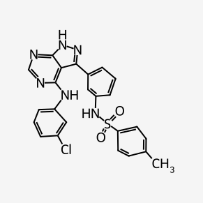 Cc1ccc(S(=O)(=O)Nc2cccc(-c3n[nH]c4ncnc(Nc5cccc(Cl)c5)c34)c2)cc1